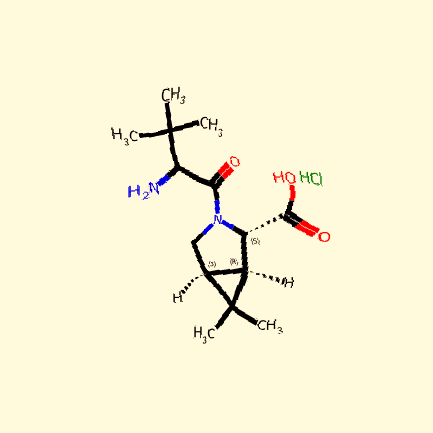 CC(C)(C)C(N)C(=O)N1C[C@H]2[C@@H]([C@H]1C(=O)O)C2(C)C.Cl